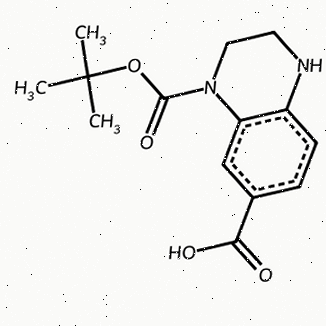 CC(C)(C)OC(=O)N1CCNc2ccc(C(=O)O)cc21